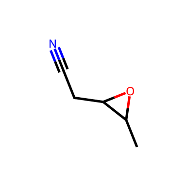 CC1OC1CC#N